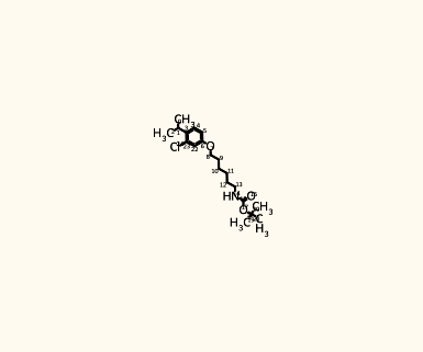 CC(C)c1ccc(OCCCCCCNC(=O)OC(C)(C)C)cc1Cl